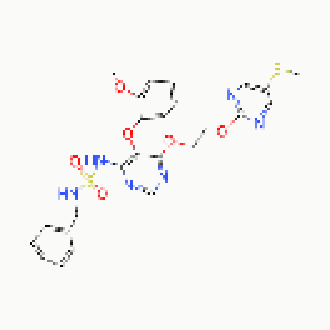 COc1ccccc1Oc1c(NS(=O)(=O)NCc2ccccc2)ncnc1OCCOc1ncc(SC)cn1